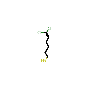 SCCCCC=C(Cl)Cl